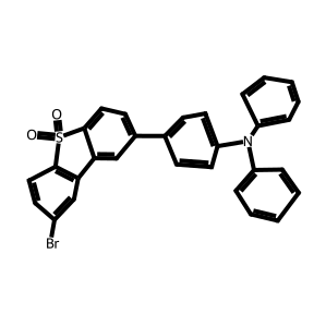 O=S1(=O)c2ccc(Br)cc2-c2cc(-c3ccc(N(c4ccccc4)c4ccccc4)cc3)ccc21